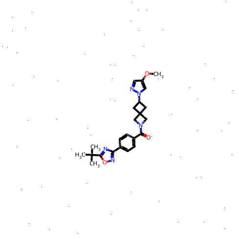 COc1cnn(C2CC3(C2)CN(C(=O)c2ccc(-c4noc(C(C)(C)C)n4)cc2)C3)c1